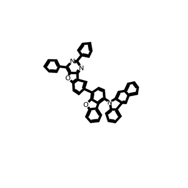 c1ccc(-c2nc(-c3ccccc3)c3oc4ccc(-c5ccc(-n6c7ccccc7c7cc8ccccc8cc76)c6c5oc5ccccc56)cc4c3n2)cc1